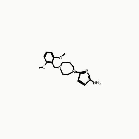 COc1cccc(OC)c1CN1CCCN(c2ccc(N)cn2)CC1